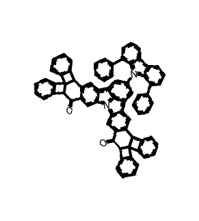 O=C1c2cc3c(cc2C2c4ccccc4C24c2ccccc2C14)c1cc(-n2c4c(-c5ccccc5)cccc4c4cccc(-c5ccccc5)c42)cc2c4cc5c(cc4n3c12)C(=O)C1c2ccccc2C12c1ccccc1C52